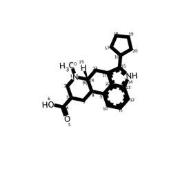 CN1CC(C(=O)O)CC2c3cccc4[nH]c(C5CCCC5)c(c34)C[C@H]21